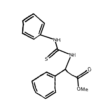 COC(=O)C(NC(=S)Nc1ccccc1)c1ccccc1